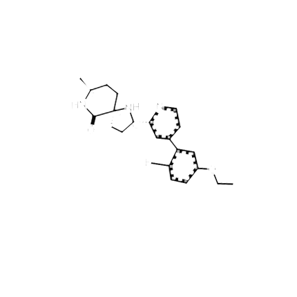 CCOc1ccc(F)c(-c2ccnc([C@@H]3CC[C@]4(CC[C@H](C)NC4=O)N3)c2)c1